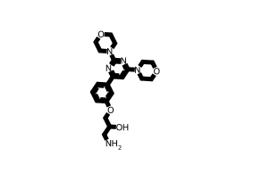 NCC(O)COc1cccc(-c2cc(N3CCOCC3)nc(N3CCOCC3)n2)c1